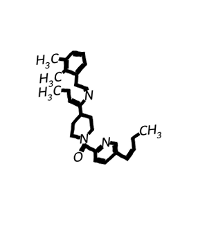 CC/C=C\c1ccc(C(=O)N2CCC(C(=C/CC)/N=C\Cc3cccc(C)c3C)CC2)nc1